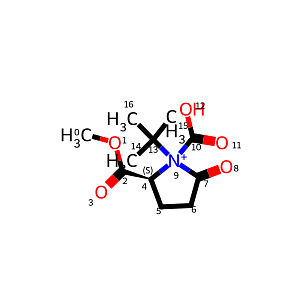 COC(=O)[C@@H]1CCC(=O)[N+]1(C(=O)O)C(C)(C)C